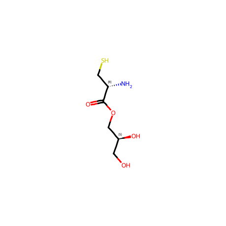 N[C@@H](CS)C(=O)OC[C@@H](O)CO